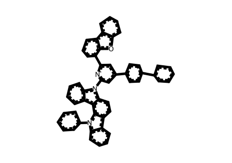 c1ccc(-c2ccc(-c3cc(-c4cccc5c4oc4ccccc45)nc(-n4c5ccccc5c5c4ccc4c6ccccc6n(-c6ccccc6)c45)c3)cc2)cc1